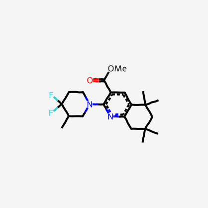 COC(=O)c1cc2c(nc1N1CCC(F)(F)C(C)C1)CC(C)(C)CC2(C)C